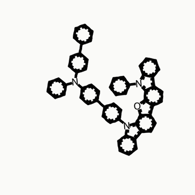 c1ccc(-c2ccc(N(c3ccccc3)c3ccc(-c4ccc(-n5c6ccccc6c6ccc7c8ccc9c%10ccccc%10n(-c%10ccccc%10)c9c8oc7c65)cc4)cc3)cc2)cc1